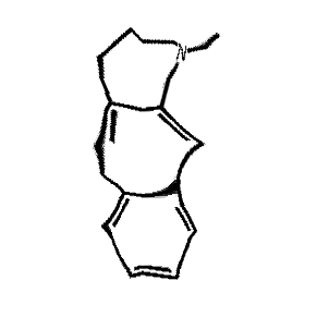 CN1CCc2cc3ccccc3cc21